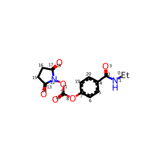 CCNC(=O)c1ccc(OC(=O)ON2C(=O)CCC2=O)cc1